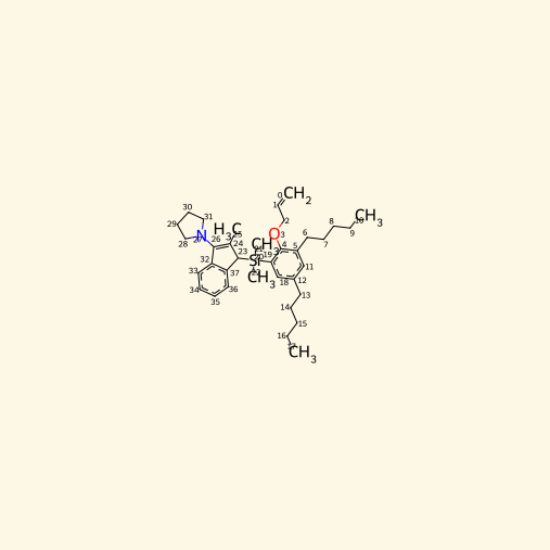 C=CCOc1c(CCCCC)cc(CCCCC)cc1[Si](C)(C)C1C(C)=C(N2CCCC2)c2ccccc21